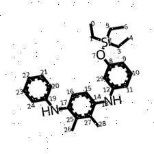 CC[Si](CC)(CC)Oc1cccc(Nc2ccc(Nc3ccccc3)c(C)c2C)c1